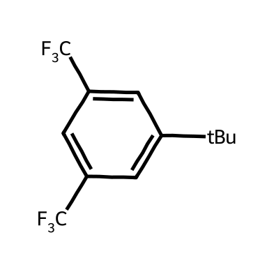 CC(C)(C)c1cc(C(F)(F)F)cc(C(F)(F)F)c1